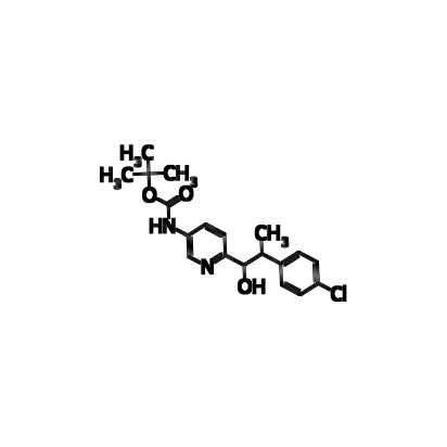 CC(c1ccc(Cl)cc1)C(O)c1ccc(NC(=O)OC(C)(C)C)cn1